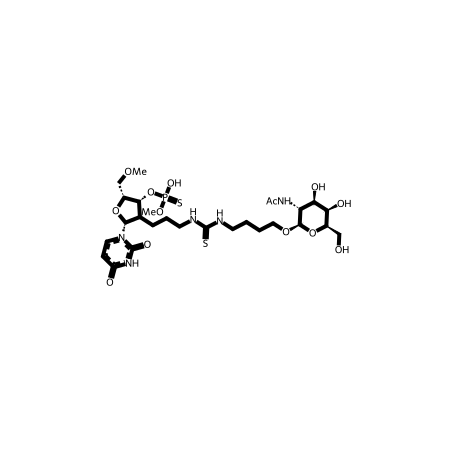 COC[C@H]1O[C@@H](n2ccc(=O)[nH]c2=O)C(CCCNC(=S)NCCCCO[C@@H]2O[C@H](CO)[C@H](O)[C@H](O)[C@H]2NC(C)=O)[C@H]1OP(O)(=S)OC